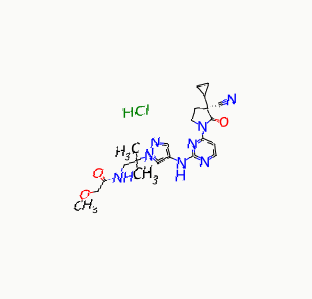 COCC(=O)NCC(C)(C)n1cc(Nc2nccc(N3CC[C@@](C#N)(C4CC4)C3=O)n2)cn1.Cl